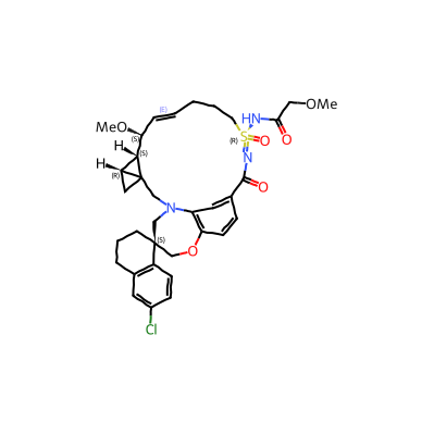 COCC(=O)N[S@@]1(=O)=NC(=O)c2ccc3c(c2)N(CC24C[C@@H]2[C@@H]4[C@@H](OC)/C=C/CCC1)C[C@@]1(CCCc2cc(Cl)ccc21)CO3